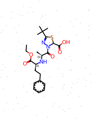 CCOC(=O)[C@H](CCc1ccccc1)N[C@@H](C)C(=O)N1N=C(C(C)(C)C)SC1C(=O)O